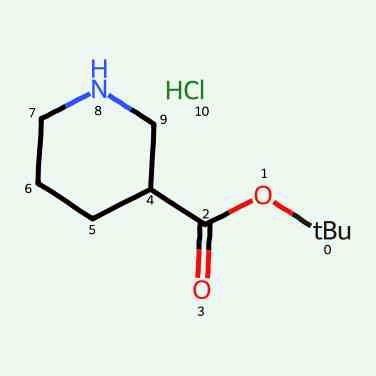 CC(C)(C)OC(=O)C1CCCNC1.Cl